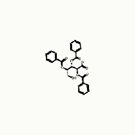 O=C(O[C@@H]([C@H](CO)OC(=O)c1ccccc1)[C@H](OC(=O)c1ccccc1)C(=O)Br)c1ccccc1